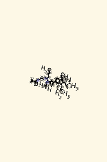 C=C(C)CCC(CCC)C(O)(CC)c1ccc(-c2c[nH]c(C(=C\C=N)/C(=C\CC/C=C/C(=O)C3CC3)CCCC)c2)cc1